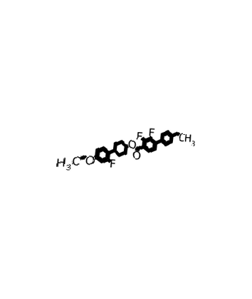 CCOc1ccc(C2CCC(OC(=O)c3ccc(-c4ccc(CC)cc4)c(F)c3F)CC2)c(F)c1